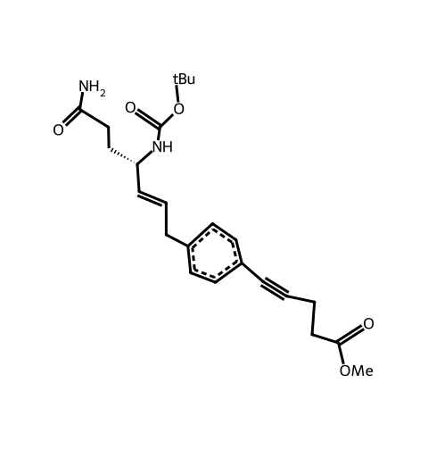 COC(=O)CCC#Cc1ccc(C/C=C/[C@H](CCC(N)=O)NC(=O)OC(C)(C)C)cc1